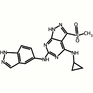 CS(=O)(=O)c1n[nH]c2nc(Nc3ccc4[nH]ncc4c3)nc(NC3CC3)c12